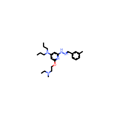 CCCN(CCC)c1cc(N/N=C/c2cccc(C)c2)nc(OCCN(C)CC)c1